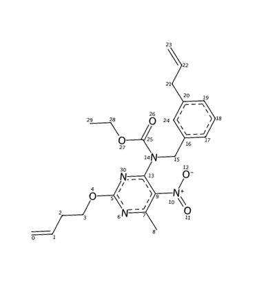 C=CCCOc1nc(C)c([N+](=O)[O-])c(N(Cc2cccc(CC=C)c2)C(=O)OCC)n1